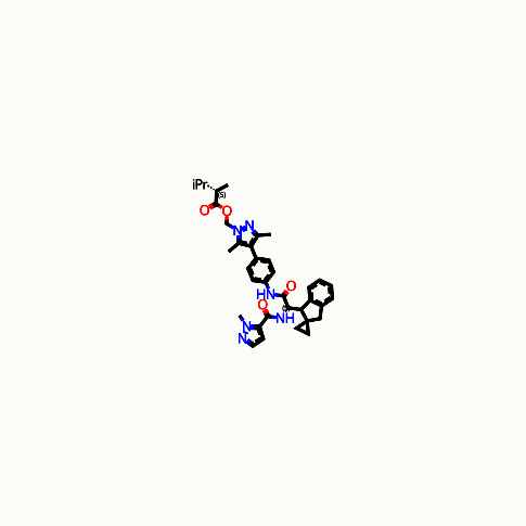 Cc1nn(COC(=O)[C@@H](C)C(C)C)c(C)c1-c1ccc(NC(=O)[C@@H](NC(=O)c2ccnn2C)C2c3ccccc3CC23CC3)cc1